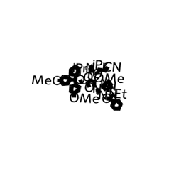 CCN(C(=O)c1ccccc1)c1ncnc2c1ncn2[C@@H]1O[C@H](COC(c2ccccc2)(c2ccc(OC)cc2)c2ccc(OC)cc2)[C@@H](OP(OCCC#N)N(C(C)C)C(C)C)[C@H]1OC